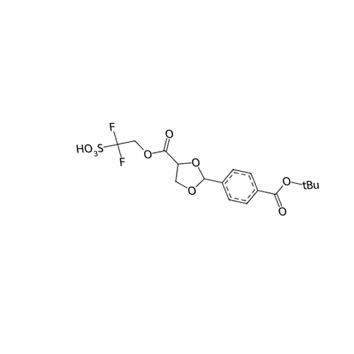 CC(C)(C)OC(=O)c1ccc(C2OCC(C(=O)OCC(F)(F)S(=O)(=O)O)O2)cc1